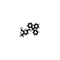 O=Cc1nc(COC(c2ccccc2)(c2ccccc2)c2ccccc2)ccc1C(F)(F)F